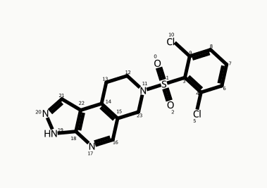 O=S(=O)(c1c(Cl)cccc1Cl)N1CCc2c(cnc3[nH]ncc23)C1